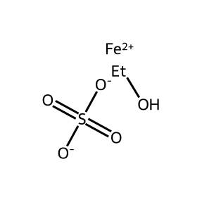 CCO.O=S(=O)([O-])[O-].[Fe+2]